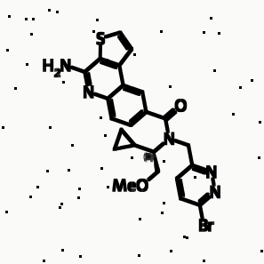 COC[C@@H](C1CC1)N(Cc1ccc(Br)nn1)C(=O)c1ccc2nc(N)c3sccc3c2c1